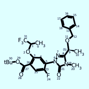 CC(Oc1cc(-n2nc([C@H](C)OCc3ccccc3)n(C)c2=O)c(F)cc1C(=O)OC(C)(C)C)C(F)(F)F